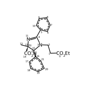 CCOC(=O)CCN1C(c2ccccc2)=N[C@](C)(C(=O)O)[C@@H]1c1ccccc1